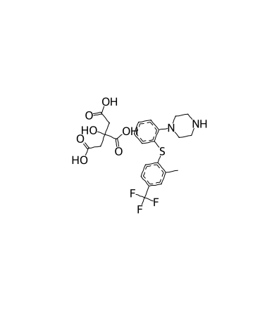 Cc1cc(C(F)(F)F)ccc1Sc1ccccc1N1CCNCC1.O=C(O)CC(O)(CC(=O)O)C(=O)O